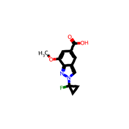 COc1cc(C(=O)O)cc2cn(C3(F)CC3)nc12